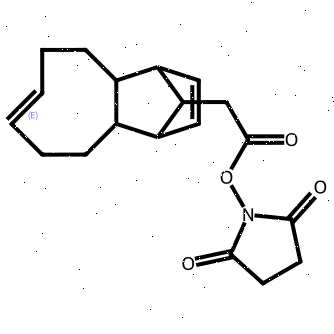 O=C(CC1C2C=CC1C1CC/C=C/CCC21)ON1C(=O)CCC1=O